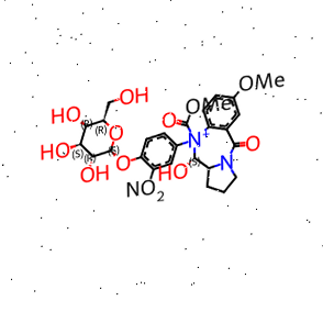 COC(=O)[N+]1(c2ccc(O[C@@H]3O[C@H](CO)[C@H](O)[C@H](O)[C@H]3O)c([N+](=O)[O-])c2)c2ccc(OC)cc2C(=O)N2CCCC2[C@@H]1O